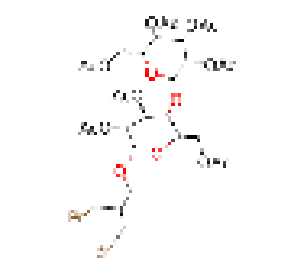 CC(=O)OC[C@H]1O[C@@H](O[C@@H]2[C@H](OC(C)=O)[C@@H](OC(C)=O)[C@@H](OCC(CBr)CBr)O[C@@H]2COC(C)=O)[C@H](OC(C)=O)[C@@H](OC(C)=O)[C@H]1OC(C)=O